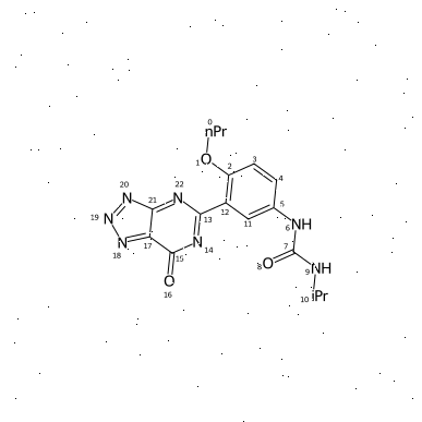 CCCOc1ccc(NC(=O)NC(C)C)cc1C1=NC(=O)C2=NN=NC2=N1